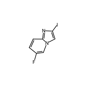 Fc1ccc2nc(I)cn2c1